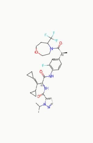 CC(C)n1nccc1C(=O)N[C@H](C(=O)Nc1ccc([C@H](C)C(=O)N2CCOCCC2C(F)(F)F)cc1F)C(=C1CC1)C1CC1